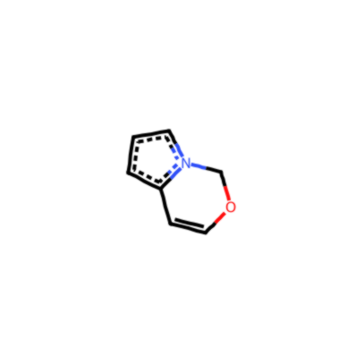 C1=Cc2cccn2CO1